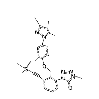 Cc1cc(-n2nc(C)c(C)c2C)ccc1OCc1c(C#CS(C)(C)C)cccc1-n1nnn(C)c1=O